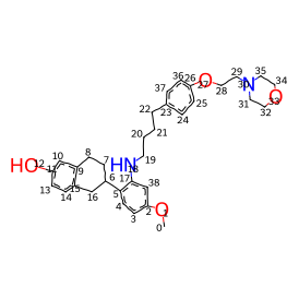 COc1ccc(C2CCc3cc(O)ccc3C2)c(NCCCCc2ccc(OCCN3CCOCC3)cc2)c1